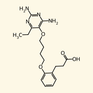 CCc1nc(N)nc(N)c1OCCCCOc1ccccc1CCC(=O)O